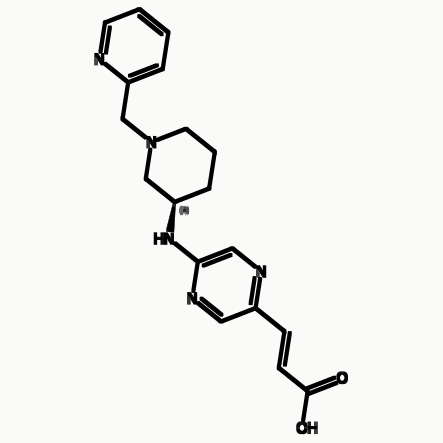 O=C(O)C=Cc1cnc(N[C@@H]2CCCN(Cc3ccccn3)C2)cn1